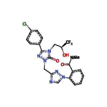 CNC(=O)c1ccccc1-n1cnc(Cn2nc(-c3ccc(Cl)cc3)n(C[C@H](O)C(F)(F)F)c2=O)n1